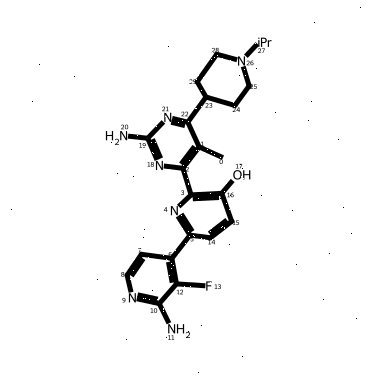 Cc1c(-c2nc(-c3ccnc(N)c3F)ccc2O)nc(N)nc1C1CCN(C(C)C)CC1